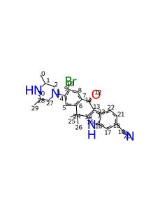 CC1CN(c2cc3c(cc2Br)C(=O)c2c([nH]c4cc(C#N)ccc24)C3(C)C)CC(C)N1